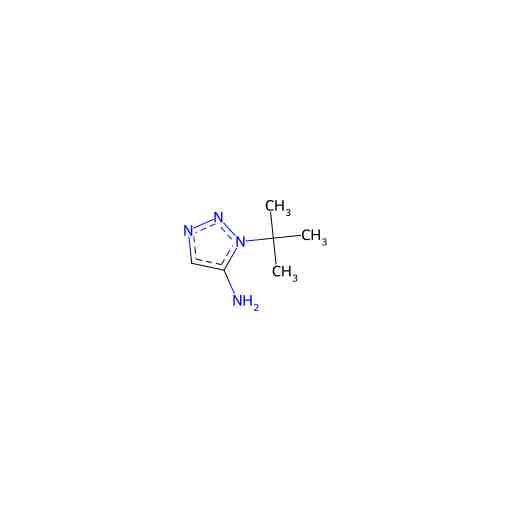 CC(C)(C)n1nncc1N